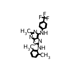 Cc1nc(Nc2ccc(C(F)(F)F)cc2)c2nc(Nc3c(C)cccc3C)sc2n1